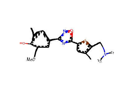 CCN(CC)Cc1sc(-c2nc(-c3cc(C)c(O)c(OC)c3)no2)cc1C